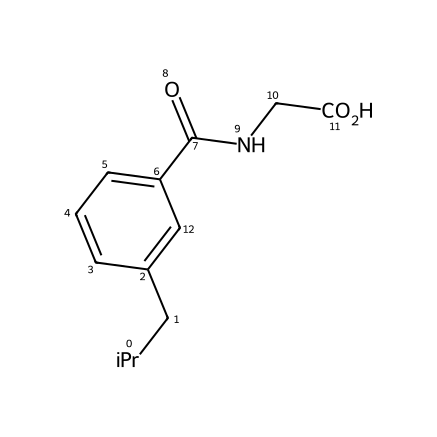 CC(C)Cc1cccc(C(=O)NCC(=O)O)c1